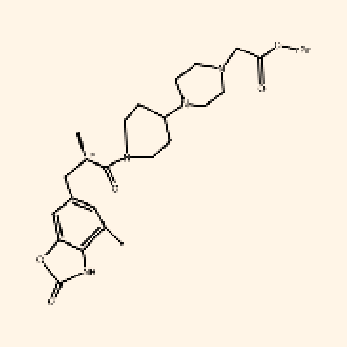 CCCOC(=O)CN1CCN(C2CCN(C(=O)[C@H](C)Cc3cc(C)c4[nH]c(=O)oc4c3)CC2)CC1